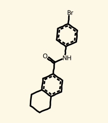 O=C(Nc1ccc(Br)cc1)c1ccc2c(c1)CCCC2